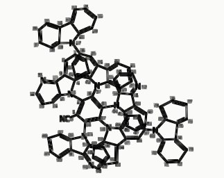 N#Cc1c(-n2c3ccccc3c3ncccc32)c(-n2c3ccccc3c3cc(-n4c5ccccc5c5ccccc54)ccc32)c(-n2c3ccccc3c3ncccc32)c(-n2c3ccccc3c3cc(-n4c5ccccc5c5ccccc54)ccc32)c1-n1c2ccccc2c2ncccc21